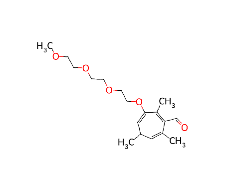 COCCOCCOCCOC1=CC(C)C=C(C)C(C=O)=C1C